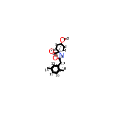 CO[C@H]1CC[C@]2(CC1)N=C(Cc1cc(C)ccc1C)OC2=O